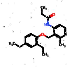 CCC(=O)Nc1cccc(C)c1COc1ccc(CC)cc1CC